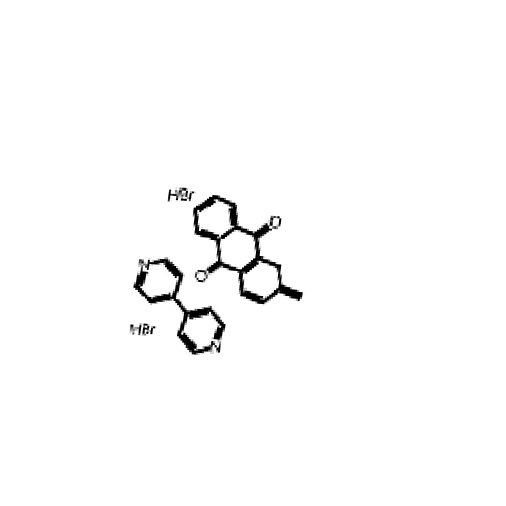 Br.Br.C=C1C=CC2=C(C1)C(=O)c1ccccc1C2=O.c1cc(-c2ccncc2)ccn1